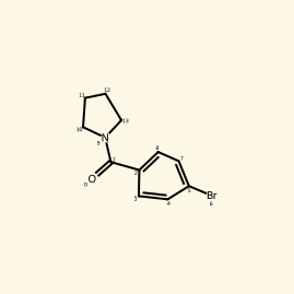 O=C(c1[c]cc(Br)cc1)N1CCCC1